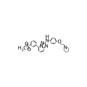 CS(=O)(=O)c1cccc(-c2cccc3nc(Nc4ccc(OCCN5CCCC5)cc4)nn23)c1